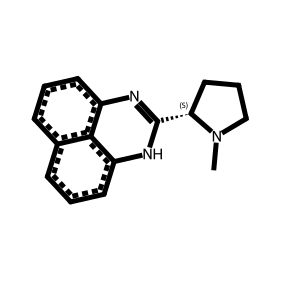 CN1CCC[C@H]1C1=Nc2cccc3cccc(c23)N1